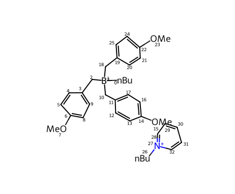 CCCC[B-](Cc1ccc(OC)cc1)(Cc1ccc(OC)cc1)Cc1ccc(OC)cc1.CCCC[n+]1ccccc1